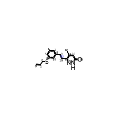 C=CCSc1cccc(/C=C/c2n[nH]c(=O)cc2C)c1